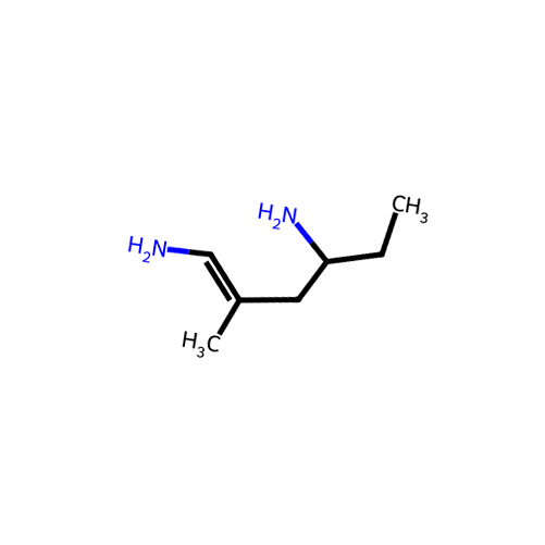 CCC(N)CC(C)=CN